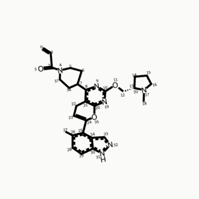 C=CC(=O)N1CCC(c2nc(OC[C@@H]3CCCN3C)nc3c2CC=C(c2c(C)ccc4[nH]ncc24)O3)CC1